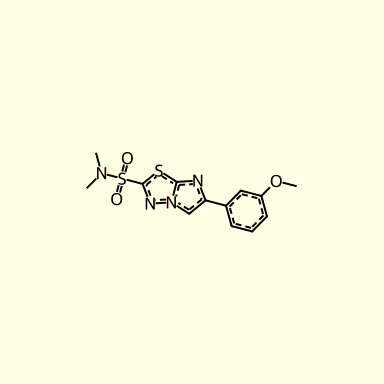 COc1cccc(-c2cn3nc(S(=O)(=O)N(C)C)sc3n2)c1